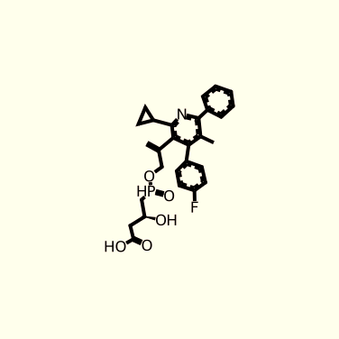 C=C(CO[PH](=O)C[C@@H](O)CC(=O)O)c1c(C2CC2)nc(-c2ccccc2)c(C)c1-c1ccc(F)cc1